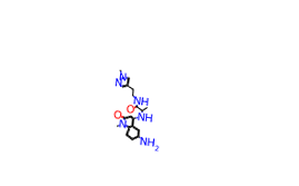 CC(Nc1cc(=O)n(C)c2ccc(N)cc12)C(=O)NCCc1cnn(C)c1